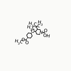 COC(=O)[C@H]1CC[C@H](OC2CCN(C(=O)O)CC2C(C)(C)C)CC1